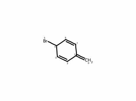 C=C1C=CC(Br)C=C1